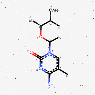 CC[C@H](OC(C)n1cc(C)c(N)nc1=O)C(C)OC